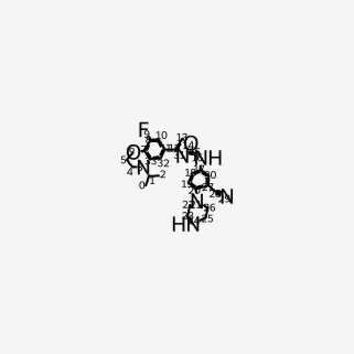 CC(C)N1CCOc2c(F)cc(-c3coc(Nc4ccc(N5CCNCC5)c(C#N)c4)n3)cc21